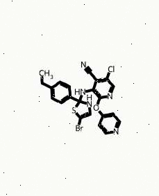 CCc1ccc(C2(Nc3c(Oc4ccncc4)ncc(Cl)c3C#N)NC=C(Br)S2)cc1